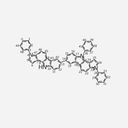 c1ccc(-n2ccc3c4[nH]c5ccc(-c6ccc7c(c6)c6ccc8c(ccn8-c8ccccc8)c6n7-c6ccccc6)cc5c4ccc32)cc1